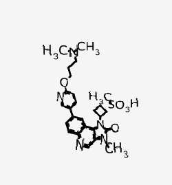 CN(C)CCCOc1ccc(-c2ccc3ncc4c(c3c2)n(C2CCC2)c(=O)n4C)cn1.CS(=O)(=O)O